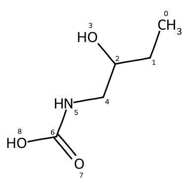 CCC(O)CNC(=O)O